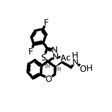 CC(=O)N1N=C(c2cc(F)ccc2F)S[C@@]12c1ccccc1OC[C@@H]2CCNO